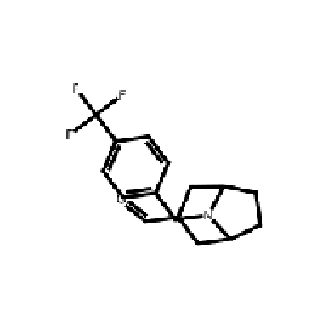 O=CC1CC2CCC(C1)N2Cc1ccc(C(F)(F)F)cc1